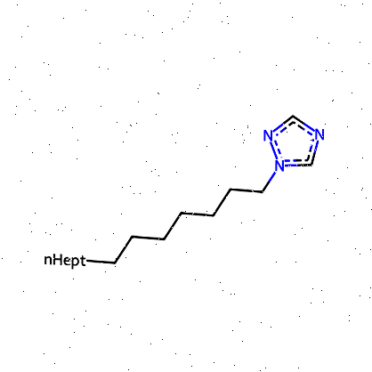 CCCCCCCCCCCCCCn1cncn1